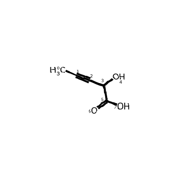 CC#CC(O)C(=O)O